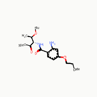 COCCOc1ccc(C(=O)N[C@H](C(=O)OC)C(C)OC(C)(C)C)c(N)c1